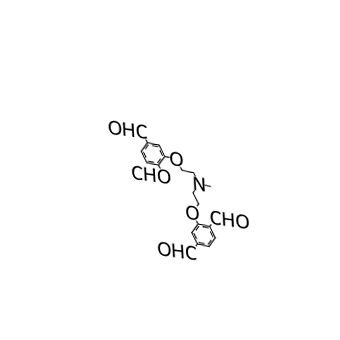 CN(CCOc1cc(C=O)ccc1C=O)CCOc1cc(C=O)ccc1C=O